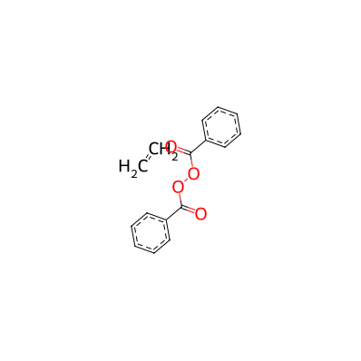 C=C.O=C(OOC(=O)c1ccccc1)c1ccccc1